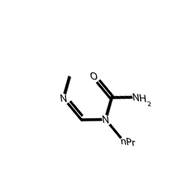 CCCN(/C=N\C)C(N)=O